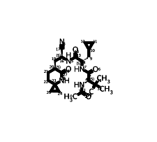 CC(=O)N[C@H](C(=O)N[C@@H](CC1CC1)C(=O)N[C@H](C#N)C[C@@H]1CCC2(CC2)NC1=O)C(C)(C)C